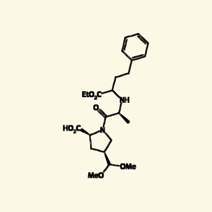 CCOC(=O)C(CCc1ccccc1)N[C@@H](C)C(=O)N1C[C@@H](C(OC)OC)C[C@H]1C(=O)O